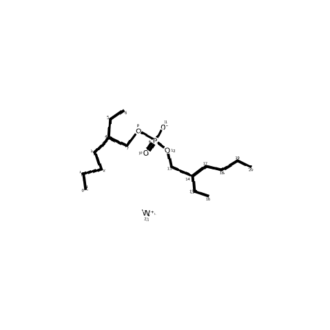 CCCCC(CC)COP(=O)([O-])OCC(CC)CCCC.[W+]